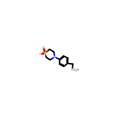 O=C(O)Cc1ccc(N2CCS(=O)(=O)CC2)cc1